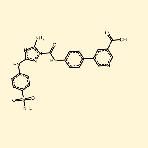 Nc1nc(Nc2ccc(S(N)(=O)=O)cc2)nn1C(=O)Nc1ccc(-c2cncc(C(=O)O)c2)cc1